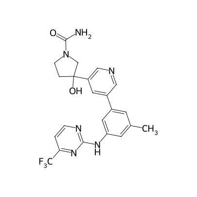 Cc1cc(Nc2nccc(C(F)(F)F)n2)cc(-c2cncc(C3(O)CCN(C(N)=O)C3)c2)c1